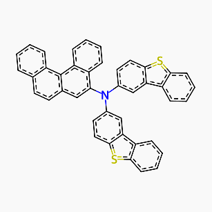 c1ccc2c(c1)ccc1cc(N(c3ccc4sc5ccccc5c4c3)c3ccc4sc5ccccc5c4c3)c3ccccc3c12